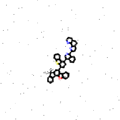 CC1(C)c2ccccc2-c2c1cc(-c1ccc(-c3cnc(-c4ccc5ccc6cccnc6c5n4)c4ccccc34)c3c1sc1ccccc13)c1c2oc2ccccc21